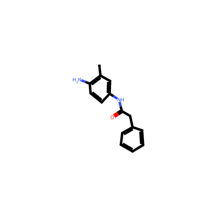 Cc1cc(NC(=O)Cc2ccccc2)ccc1N